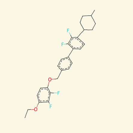 CCOc1ccc(OCc2ccc(-c3ccc(C4CCC(C)CC4)c(F)c3F)cc2)c(F)c1F